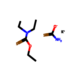 CCOC(=S)N(CC)CC.NC([O-])=S.[K+]